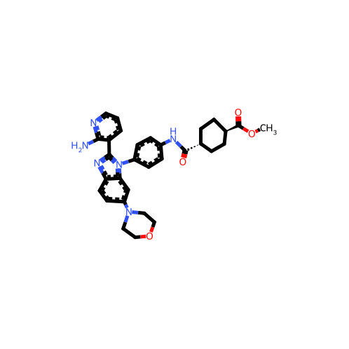 COC(=O)[C@H]1CC[C@H](C(=O)Nc2ccc(-n3c(-c4cccnc4N)nc4ccc(N5CCOCC5)cc43)cc2)CC1